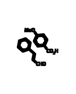 COc1ccc(C(=O)O)cc1.O=CC=Cc1ccccc1